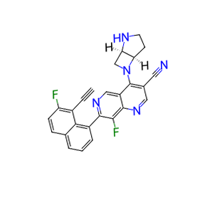 C#Cc1c(F)ccc2cccc(-c3ncc4c(N5C[C@H]6NCC[C@H]65)c(C#N)cnc4c3F)c12